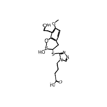 COc1ccc2c(c1CO)OB(O)[C@@H](Sc1nncn1CCCC(=O)O)C2